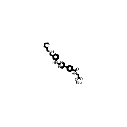 CC(C)(C)OC(=O)CNC(=O)c1ccc(-c2cnc(Nc3cccc(CNCC4CCCO4)c3)nc2)cc1